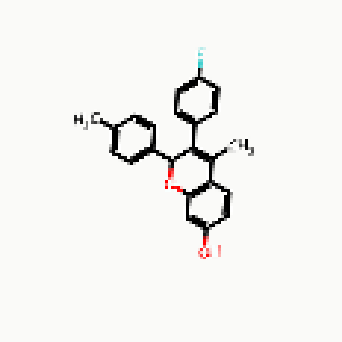 CC1=C(c2ccc(F)cc2)C(c2ccc(C)cc2)Oc2cc(O)ccc21